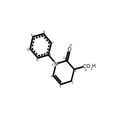 O=C(O)C1CC=CN(c2ccccc2)C1=O